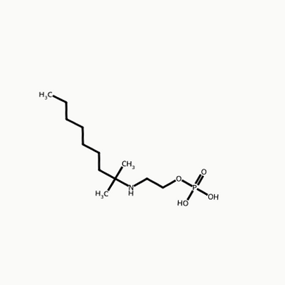 CCCCCCCC(C)(C)NCCOP(=O)(O)O